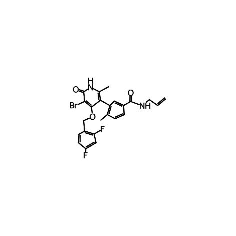 C=CCNC(=O)c1ccc(C)c(-c2c(C)[nH]c(=O)c(Br)c2OCc2ccc(F)cc2F)c1